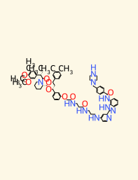 CC[C@H](C(=O)N1CCCC[C@H]1C(=O)O[C@H](CCc1ccc(C)c(C)c1)c1cccc(OCC(=O)NCCC(=O)NCCCNc2ccnc(-c3nc4cccc(NC(=O)c5ccc(CN6CCNCC6)cc5)c4[nH]3)c2)c1)c1cc(C)c(OC)c(OC)c1